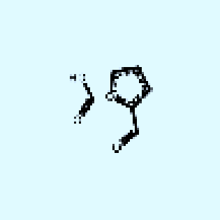 O=CO.O=Cc1ccco1